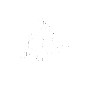 NCCN.O=C([O-])CCC(=O)[O-].O=C([O-])CCC(=O)[O-].[Na+].[Na+].[Na+].[Na+]